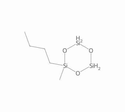 CCCC[Si]1(C)O[SiH2]O[SiH2]O1